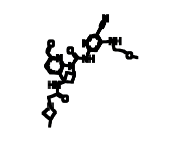 COCCNc1cc(NC(=O)N2c3nc(C=O)ccc3C3(NC(=O)CN4CC(C)C4)CC2C3)ncc1C#N